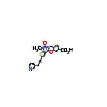 Cn1c(=O)n(Cc2ccc(C(=O)O)cc2)c(=O)c2cc(C#CCc3cccnc3)sc21